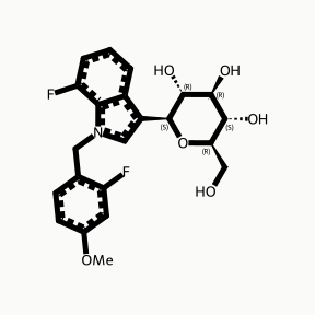 COc1ccc(Cn2cc([C@@H]3O[C@H](CO)[C@@H](O)[C@H](O)[C@H]3O)c3cccc(F)c32)c(F)c1